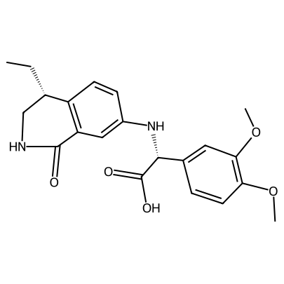 CC[C@H]1CNC(=O)c2cc(N[C@@H](C(=O)O)c3ccc(OC)c(OC)c3)ccc21